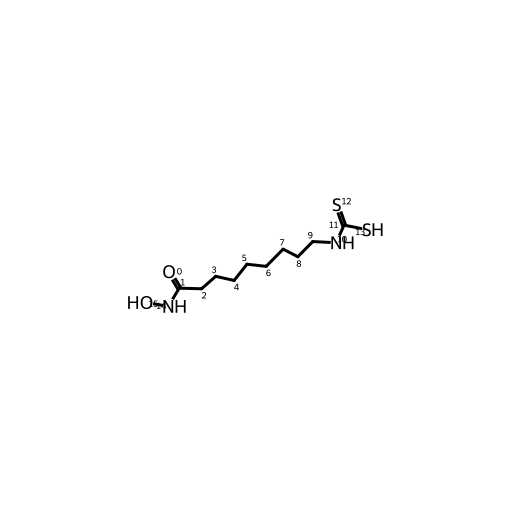 O=C(CCCCCCCCNC(=S)S)NO